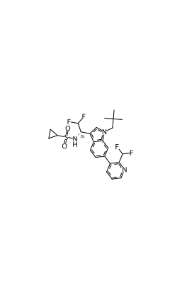 CC(C)(C)Cn1cc([C@H](NS(=O)(=O)C2CC2)C(F)F)c2ccc(-c3cccnc3C(F)F)cc21